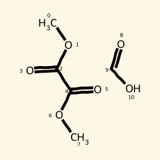 COC(=O)C(=O)OC.O=CO